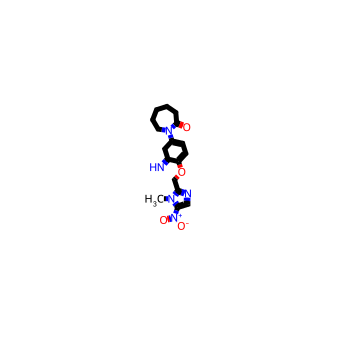 Cn1c([N+](=O)[O-])cnc1COC1=CC=C(N2CCCCCC2=O)CC1=N